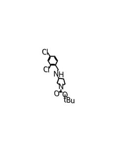 CC(C)(C)OC(=O)N1CCC(NCc2ccc(Cl)cc2Cl)C1